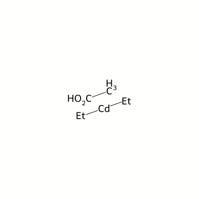 CC(=O)O.C[CH2][Cd][CH2]C